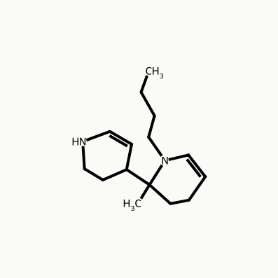 CCCCN1C=CCCC1(C)C1C=CNCC1